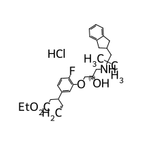 C=CC(CC(=O)OCC)c1ccc(F)c(OC[C@H](O)CNC(C)(C)CC2Cc3ccccc3C2)c1.Cl